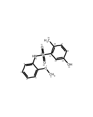 COc1ccccc1NS(=O)(=O)c1cc(O)ccc1C